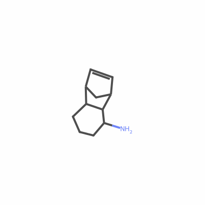 NC1CCCC2C3C=CC(C3)C12